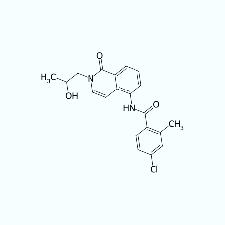 Cc1cc(Cl)ccc1C(=O)Nc1cccc2c(=O)n(CC(C)O)ccc12